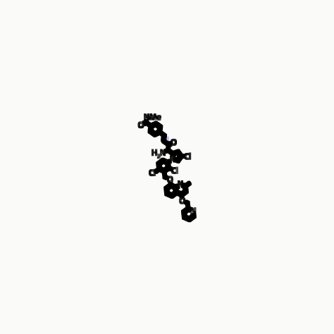 CNC(=O)c1ccc(/C=C/C(=O)C(N)c2cc(Cl)cn2-c2ccc(Cl)c(COc3cccc4c(OCc5ccccn5)cc(C)nc34)c2Cl)cc1